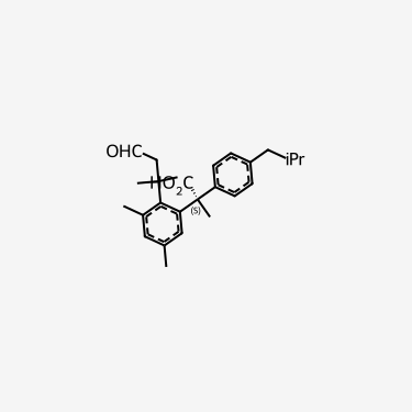 Cc1cc(C)c(C(C)(C)CC=O)c([C@@](C)(C(=O)O)c2ccc(CC(C)C)cc2)c1